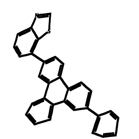 c1ccc(-c2ccc3c4ccc(-c5cccc6ncsc56)cc4c4ccccc4c3c2)cc1